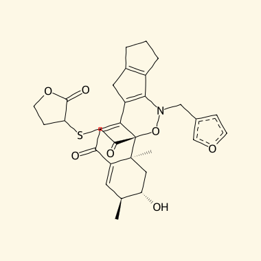 C[C@H]1C=C2C(=O)C=C3C4=C(C5=C(CCC5)C4)N(Cc4ccoc4)O[C@]3(C(=O)CSC3CCOC3=O)[C@@]2(C)C[C@@H]1O